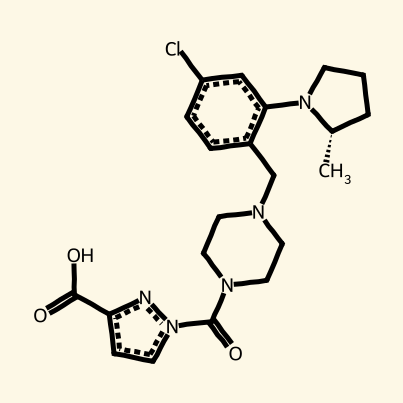 C[C@H]1CCCN1c1cc(Cl)ccc1CN1CCN(C(=O)n2ccc(C(=O)O)n2)CC1